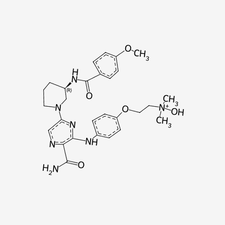 COc1ccc(C(=O)N[C@@H]2CCCN(c3cnc(C(N)=O)c(Nc4ccc(OCC[N+](C)(C)O)cc4)n3)C2)cc1